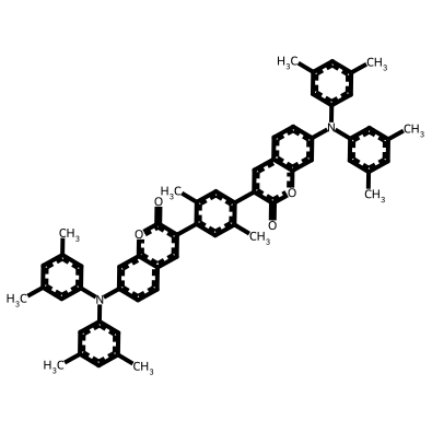 Cc1cc(C)cc(N(c2cc(C)cc(C)c2)c2ccc3cc(-c4cc(C)c(-c5cc6ccc(N(c7cc(C)cc(C)c7)c7cc(C)cc(C)c7)cc6oc5=O)cc4C)c(=O)oc3c2)c1